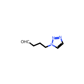 O=CCCCn1ccnn1